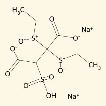 CC[S+]([O-])C(C(=O)[O-])(C(C(=O)[O-])S(=O)(=O)O)[S+]([O-])CC.[Na+].[Na+]